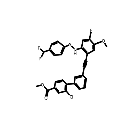 COC(=O)c1ccc(-c2cccc(C#Cc3cc(OC)c(F)cc3NSc3ccc(C(F)F)cc3)c2)c(Cl)c1